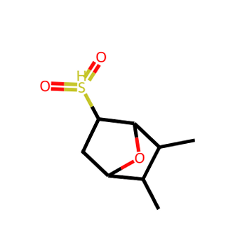 CC1C2CC([SH](=O)=O)C(O2)C1C